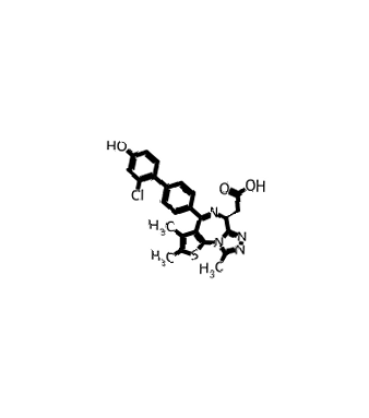 Cc1sc2c(c1C)C(c1ccc(-c3ccc(O)cc3Cl)cc1)=N[C@@H](CC(=O)O)c1nnc(C)n1-2